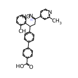 Cc1cc(/C(CC(c2ccc(-c3ccc(C(=O)O)cc3)cc2)c2ccccc2C)=N/O)ccn1